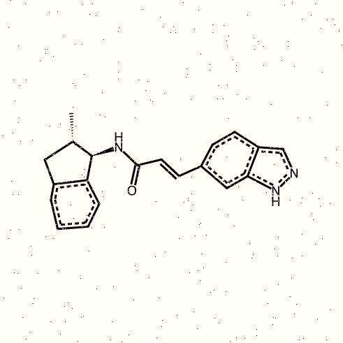 C[C@H]1Cc2ccccc2[C@@H]1NC(=O)/C=C/c1ccc2cn[nH]c2c1